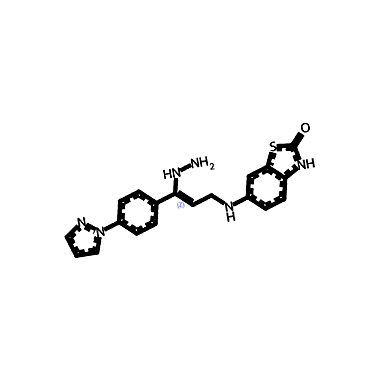 NN/C(=C\CNc1ccc2[nH]c(=O)sc2c1)c1ccc(-n2cccn2)cc1